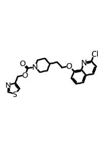 N#Cc1ccc2cccc(OCCC3CCN(C(=O)OCc4cscn4)CC3)c2n1